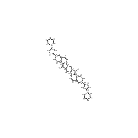 Cn1c2cc3c4ccc5cc(C6CC=C(c7ccccc7)S6)ccc5c4n(C)c3cc2c2ccc3cc(-c4ccc(-c5ccccc5)s4)ccc3c21